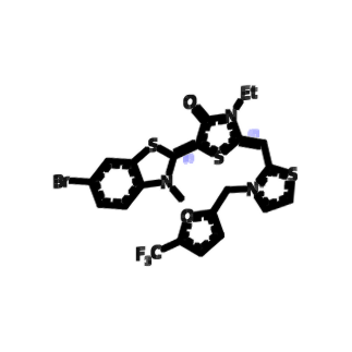 CCn1c(=O)/c(=C2\Sc3cc(Br)ccc3N2C)s/c1=C\c1scc[n+]1Cc1ccc(C(F)(F)F)o1